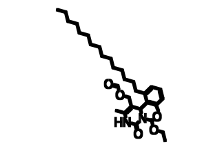 CCCCCCCCCCCCCCCc1cccc(C)c1C1C(COC=O)=C(C)NC(=O)N1C(=O)OCC